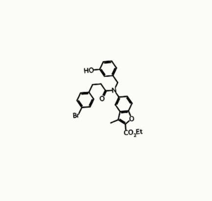 CCOC(=O)c1oc2ccc(N(Cc3cccc(O)c3)C(=O)CCc3ccc(Br)cc3)cc2c1C